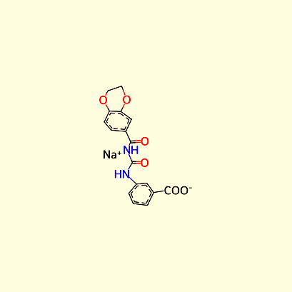 O=C(NC(=O)c1ccc2c(c1)OCCO2)Nc1cccc(C(=O)[O-])c1.[Na+]